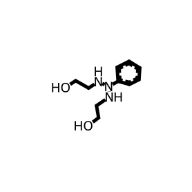 OCCNN(NCCO)c1ccccc1